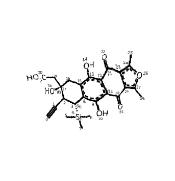 C#CC1[C@@H]([Si](C)(C)C)c2c(O)c3c(c(O)c2C[C@@]1(O)CC(=O)O)C(=O)c1c(C)oc(C)c1C3=O